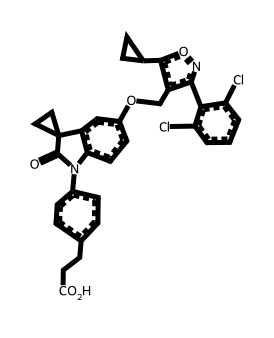 O=C(O)CCc1ccc(N2C(=O)C3(CC3)c3cc(OCc4c(-c5c(Cl)cccc5Cl)noc4C4CC4)ccc32)cc1